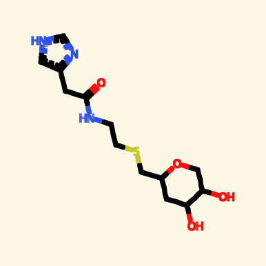 O=C(Cc1c[nH]cn1)NCCSCC1CC(O)C(O)CO1